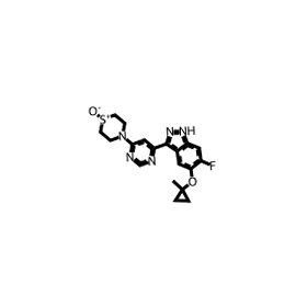 CC1(Oc2cc3c(-c4cc(N5CC[S+]([O-])CC5)ncn4)n[nH]c3cc2F)CC1